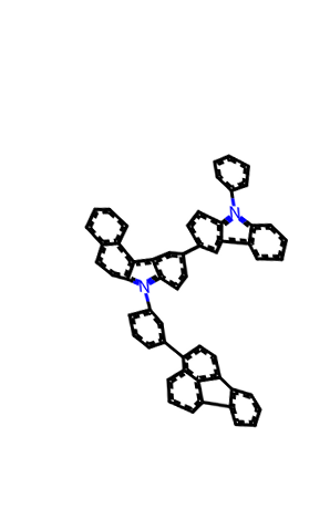 c1ccc(-n2c3ccccc3c3cc(-c4ccc5c(c4)c4c6ccccc6ccc4n5-c4cccc(-c5ccc6c7c(cccc57)-c5ccccc5-6)c4)ccc32)cc1